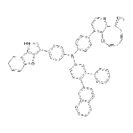 C=C1/C=C\C=C/Oc2c(-c3ccc(N(c4ccc(-c5c[nH]c6c7c(oc56)C=CCC7)cc4)c4ccc(-c5ccc6ccccc6c5)c(-c5ccccc5)c4)cc3)ccnc21